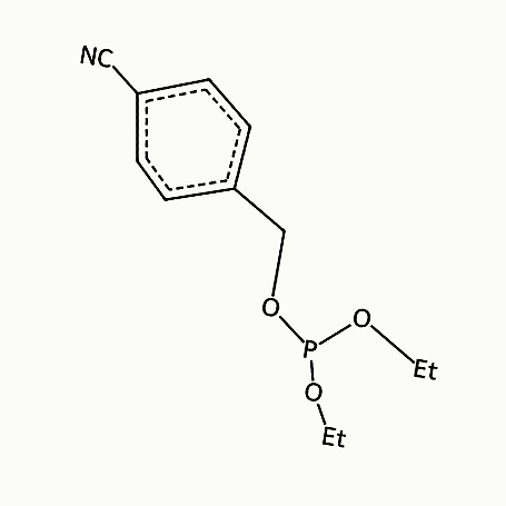 CCOP(OCC)OCc1ccc(C#N)cc1